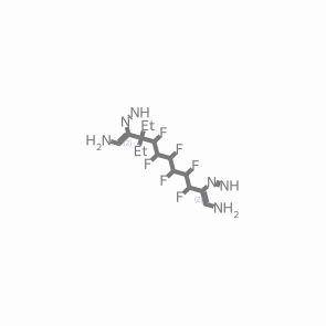 CCC(CC)(/C(=C/N)N=N)C(F)C(F)C(F)C(F)C(F)C(F)/C(=C/N)N=N